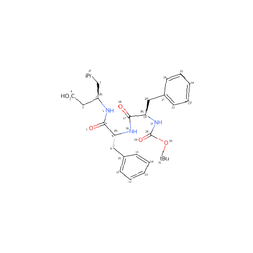 CC(C)C[C@H](CC(=O)O)NC(=O)[C@@H](Cc1ccccc1)NC(=O)[C@@H](Cc1ccccc1)NC(=O)OC(C)(C)C